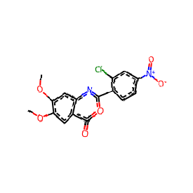 COc1cc2nc(-c3ccc([N+](=O)[O-])cc3Cl)oc(=O)c2cc1OC